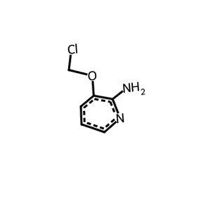 Nc1ncccc1OCCl